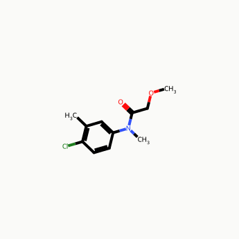 COCC(=O)N(C)c1ccc(Cl)c(C)c1